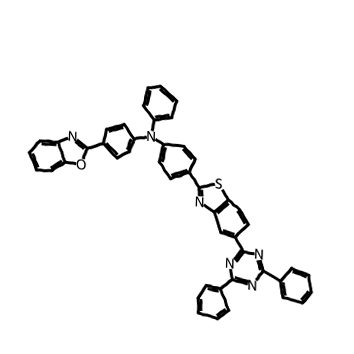 c1ccc(-c2nc(-c3ccccc3)nc(-c3ccc4sc(-c5ccc(N(c6ccccc6)c6ccc(-c7nc8ccccc8o7)cc6)cc5)nc4c3)n2)cc1